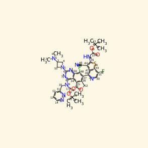 CN(C)C1CN(c2nc(N(Cc3cccnn3)C(=O)OC(C)(C)C)c3c4c(c(-c5ncc(F)c6sc(NC(=O)OC(C)(C)C)c(C#N)c56)c(F)c3n2)COC4)C1